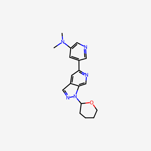 CN(C)c1cncc(-c2cc3cnn(C4CCCCO4)c3cn2)c1